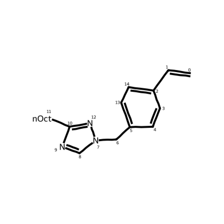 C=Cc1ccc(Cn2cnc(CCCCCCCC)n2)cc1